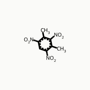 Cc1c([N+](=O)[O-])cc([N+](=O)[O-])c(C)c1[N+](=O)[O-]